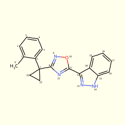 Cc1ccccc1C1(c2noc(-c3n[nH]c4ccccc34)n2)CC1